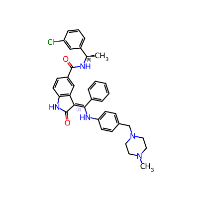 C[C@@H](NC(=O)c1ccc2c(c1)/C(=C(/Nc1ccc(CN3CCN(C)CC3)cc1)c1ccccc1)C(=O)N2)c1cccc(Cl)c1